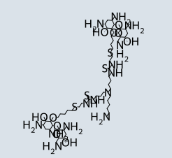 NCCCCCN(CCCCNC(=S)NCCSCCCCOC1[C@@H](O[C@@H]2OC(CN)[C@@H](O)CC2N)C(N)C[C@@H](N)[C@H]1O)CCCNC(=S)NCCSCCCCCO[C@@H]1C(O)[C@H](N)CC(N)[C@@H]1O[C@@H]1OC(CN)[C@@H](O)CC1N